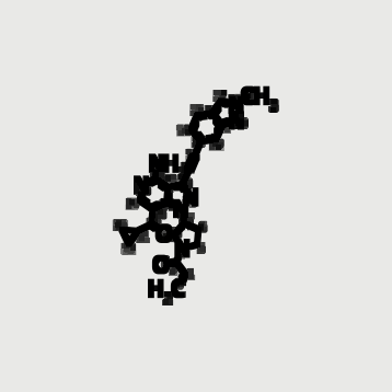 C=CC(=O)N1CC[C@H](n2nc(C#Cc3ccc4cn(C)nc4c3)c3c(N)ncc(C(=O)C4CC4)c32)C1